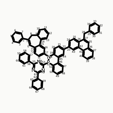 C1=C(c2ccccc2)Cc2ccccc2-c2cc(N3c4ccc(-c5ccc6c(Cc7ccccc7)cc7ccccc7c6c5)cc4-c4ccccc4P3c3nc(-c4ccccc4)nc(-c4ccccc4)n3)ccc21